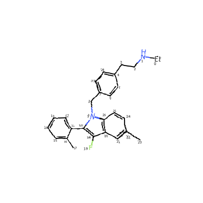 CCNCCc1ccc(Cn2c(-c3ccccc3C)c(F)c3cc(C)ccc32)cc1